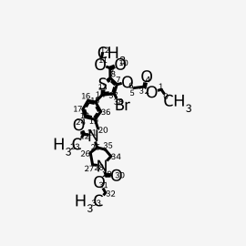 CCOC(=O)COc1c(C(=O)OC)sc(-c2cccc(CN(C(C)=O)C3CCN(C(=O)OCC)CC3)c2)c1Br